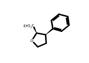 CCOC(=O)[C@@H]1OCC[C@@H]1c1ccccc1